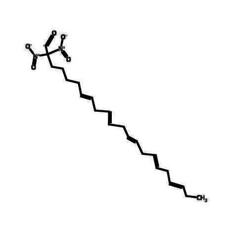 CCC=CCC=CCC=CCC=CCC=CCCCCC([C]=O)([N+](=O)[O-])[N+](=O)[O-]